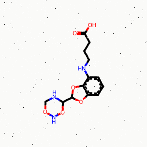 O=C(O)CCCNc1cccc2c1OC(C1NCONO1)O2